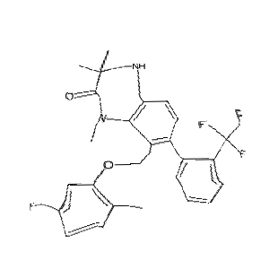 Cc1ccc(F)cc1OCc1c(-c2ccccc2C(F)(F)F)ccc2c1N(C)C(=O)C(C)(C)N2